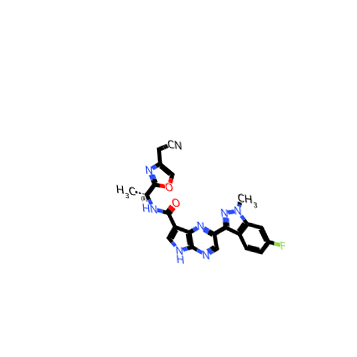 C[C@@H](NC(=O)c1c[nH]c2ncc(-c3nn(C)c4cc(F)ccc34)nc12)c1nc(CC#N)co1